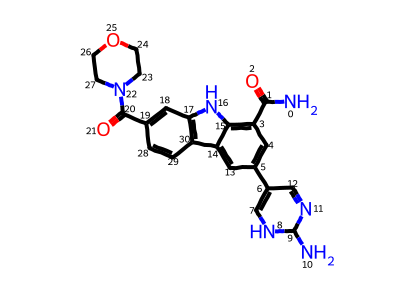 NC(=O)c1cc(C2=CNC(N)N=C2)cc2c1[nH]c1cc(C(=O)N3CCOCC3)ccc12